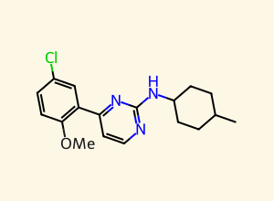 COc1ccc(Cl)cc1-c1ccnc(NC2CCC(C)CC2)n1